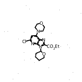 CCOC(=O)c1nc2c(N3CCOCC3)cc(Cl)nc2n1C1CCCCO1